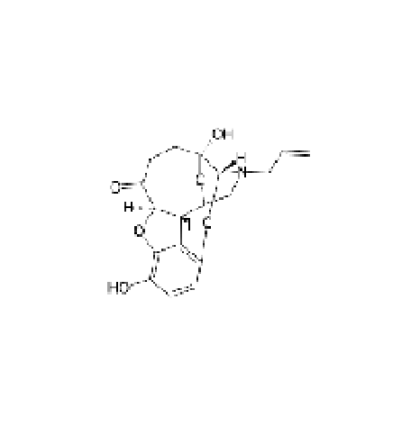 C=CCN1CC2C[C@@]3(O)CCC(=O)[C@@H]4Oc5c(O)ccc(c5[C@@H]24)C[C@@H]13